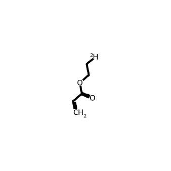 [2H]CCOC(=O)C=C